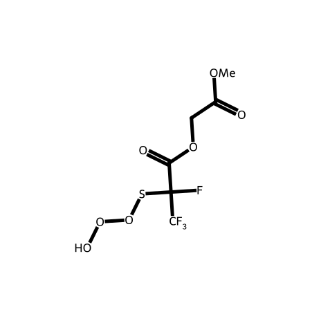 COC(=O)COC(=O)C(F)(SOOO)C(F)(F)F